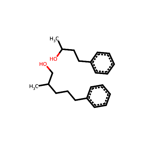 CC(CO)CCCc1ccccc1.CC(O)CCc1ccccc1